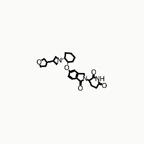 O=C1CCC(N2Cc3cc(O[C@H]4CCCC[C@H]4N4CC(C5CCOC5)C4)ccc3C2=O)C(=O)N1